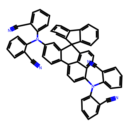 N#Cc1ccccc1N(c1ccc2c(c1)C1(c3ccccc3-c3ccccc31)c1cccc3c(N(c4ccccc4C#N)c4ccccc4C#N)ccc-2c13)c1ccccc1C#N